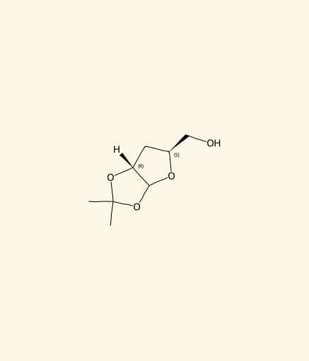 CC1(C)OC2O[C@H](CO)C[C@H]2O1